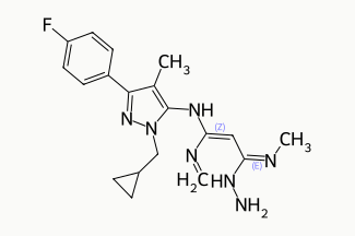 C=N/C(=C\C(=N/C)NN)Nc1c(C)c(-c2ccc(F)cc2)nn1CC1CC1